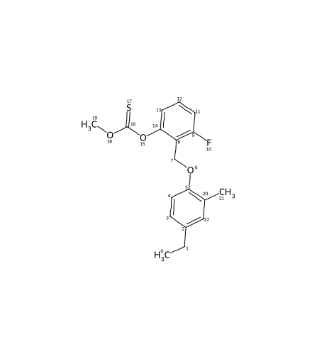 CCc1ccc(OCc2c(F)cccc2OC(=S)OC)c(C)c1